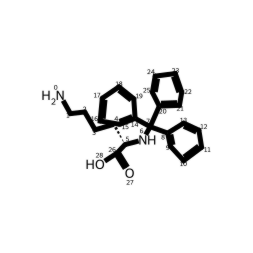 NCCCC[C@H](NC(c1ccccc1)(c1ccccc1)c1ccccc1)C(=O)O